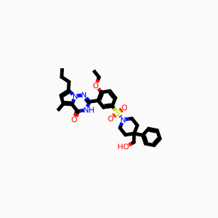 CCCc1cc(C)c2c(=O)[nH]c(-c3cc(S(=O)(=O)N4CCC(CO)(c5ccccc5)CC4)ccc3OCC)nn12